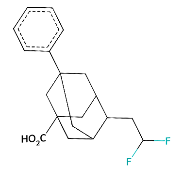 O=C(O)C12CC3CC(c4ccccc4)(CC(C1)C3CC(F)F)C2